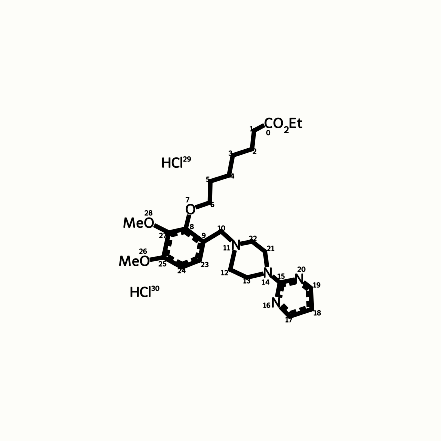 CCOC(=O)CCCCCCOc1c(CN2CCN(c3ncccn3)CC2)ccc(OC)c1OC.Cl.Cl